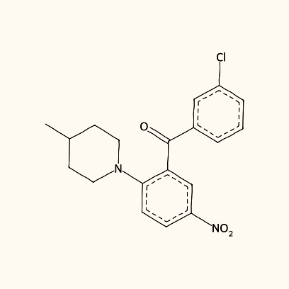 CC1CCN(c2ccc([N+](=O)[O-])cc2C(=O)c2cccc(Cl)c2)CC1